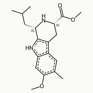 COC(=O)[C@@H]1Cc2c([nH]c3cc(OC)c(C)cc23)[C@H](CC(C)C)N1